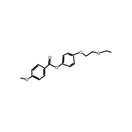 CCOCCOc1ccc(OC(=O)c2ccc(OC)cc2)cc1